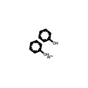 Oc1ccccc1.Oc1ccccc1.[Al+3]